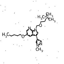 CCCCCOc1cnc2c(c1)c(-c1cnn(C)c1)cn2COCC[Si](C)(C)C